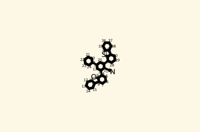 N#Cc1c(-c2cccc3c2oc2ccccc23)cc(-c2ccccc2)cc1-c1cccc2c1sc1ccccc12